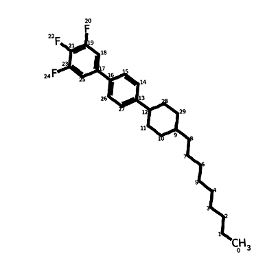 CCCCCCCCCC1CCC(c2ccc(-c3cc(F)c(F)c(F)c3)cc2)CC1